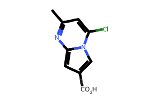 Cc1cc(Cl)n2cc(C(=O)O)cc2n1